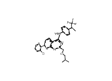 CC(C)COCc1nc(Nc2ccc(C(C)C(F)(F)F)cc2)c2ccc(-c3ncccc3Cl)nc2n1